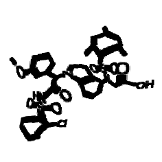 COc1cccc(C(C(=O)NS(=O)(=O)c2ccccc2Cl)N2CCc3c2cccc3N(CC(=O)O)S(=O)(=O)c2c(C)cc(C)cc2C)c1